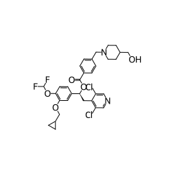 O=C(O[C@@H](Cc1c(Cl)cncc1Cl)c1ccc(OC(F)F)c(OCC2CC2)c1)c1ccc(CN2CCC(CO)CC2)cc1